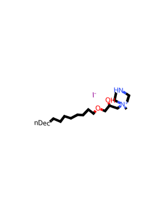 CCCCCCCCCCCCCCCCCCOCC(O)C[N+]1(C)CCNCC1.[I-]